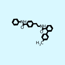 Cc1ccc(-c2ccccc2C(=O)NCCc2ccc(C(=O)Nc3ccccc3)cc2)cc1